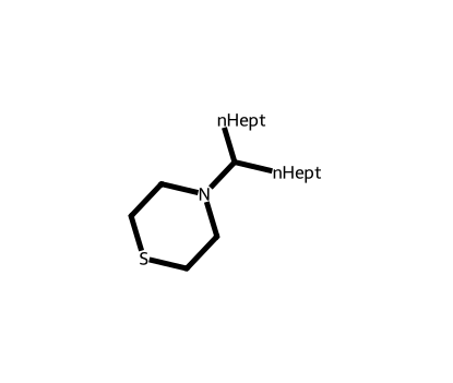 CCCCCCCC(CCCCCCC)N1CCSCC1